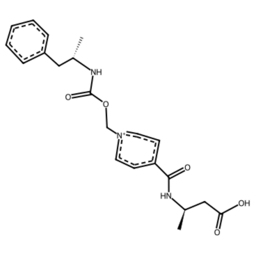 C[C@H](CC(=O)O)NC(=O)c1cc[n+](COC(=O)N[C@@H](C)Cc2ccccc2)cc1